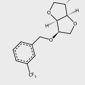 O[C@H]1CO[C@H]2[C@@H]1OC[C@H]2OCc1cccc(C(F)(F)F)c1